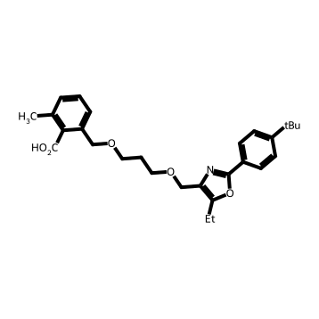 CCc1oc(-c2ccc(C(C)(C)C)cc2)nc1COCCCOCc1cccc(C)c1C(=O)O